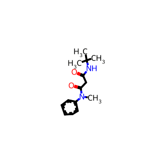 CN(C(=O)CC(=O)NC(C)(C)C)c1ccccc1